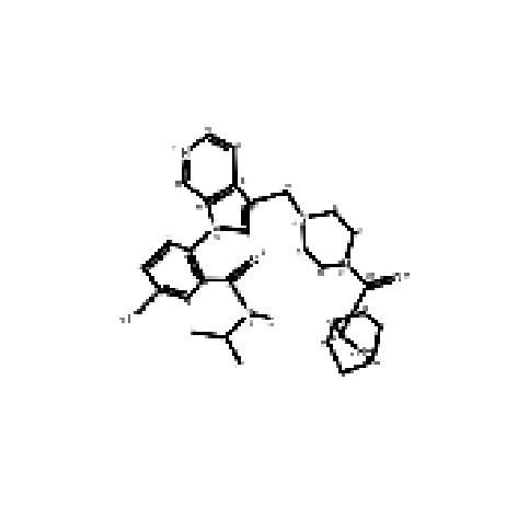 CC(C)N(C)C(=O)c1cc(F)ccc1-n1cc(CN2CCN(C(=O)C3NC4CCC3CC4)CC2)c2ccncc21